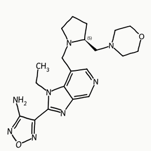 CCn1c(-c2nonc2N)nc2cncc(CN3CCC[C@H]3CN3CCOCC3)c21